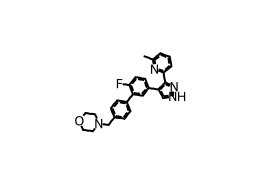 Cc1cccc(-c2n[nH]cc2-c2ccc(F)c(-c3ccc(CN4CCOCC4)cc3)c2)n1